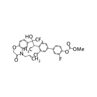 C=CCN1C(=O)COc2ccc(C(O)(C(C)c3ccc(-c4ccc(OC(=O)OC)c(F)c4)cc3Cl)C(F)(F)F)cc21